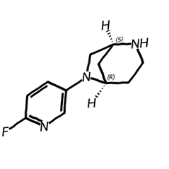 Fc1ccc(N2C[C@@H]3C[C@H]2CCN3)cn1